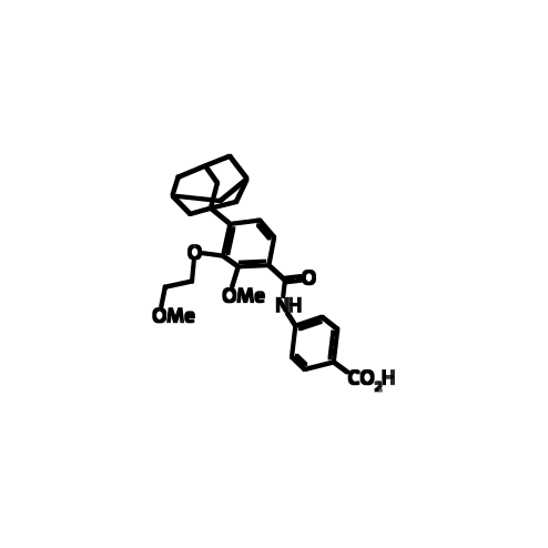 COCCOc1c(C23CC4CC(CC(C4)C2)C3)ccc(C(=O)Nc2ccc(C(=O)O)cc2)c1OC